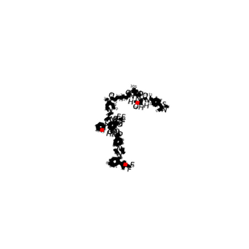 Cc1ncsc1-c1ccc([C@H](C)NC(=O)[C@@H]2C[C@@H](O)CN2C(=O)[C@@H](NC(=O)CCCCCC(=O)N(C)C2CCN(CC[C@H](CSc3ccccc3)Nc3ccc(S(=O)(=O)NC(=O)c4ccc(N5CCN(CC6=C(C78CC(C(F)F)(C7)C8)CC(C)(C)CC6)CC5)cc4)cc3S(=O)(=O)C(F)(F)F)CC2)C(C)(C)C)cc1